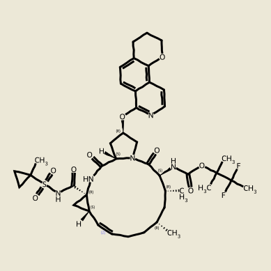 C[C@@H]1CC/C=C\[C@@H]2C[C@@]2(C(=O)NS(=O)(=O)C2(C)CC2)NC(=O)[C@@H]2C[C@@H](Oc3nccc4c5c(ccc34)CCCO5)CN2C(=O)[C@@H](NC(=O)OC(C)(C)C(C)(F)F)[C@H](C)C1